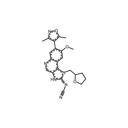 COc1cc2c(cc1-c1c(C)noc1C)ncc1[nH]c(=NC#N)n(CC3CCCO3)c12